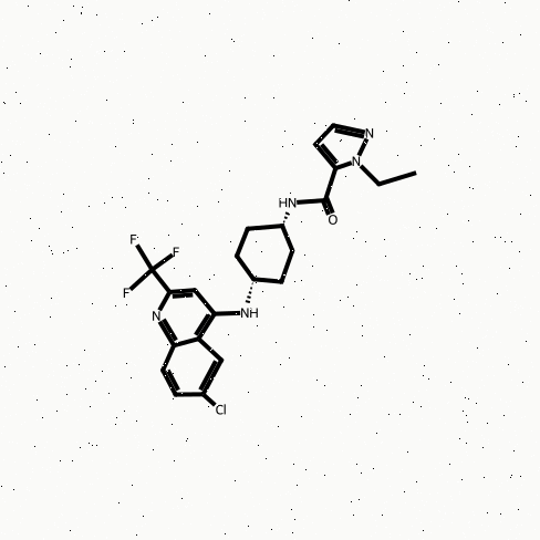 CCn1nccc1C(=O)N[C@H]1CC[C@@H](Nc2cc(C(F)(F)F)nc3ccc(Cl)cc23)CC1